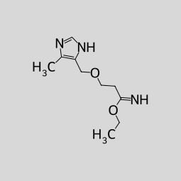 CCOC(=N)CCOCc1[nH]cnc1C